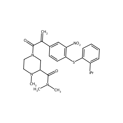 C=C(C(=O)N1CCN(C)C(C(=O)N(C)C)C1)c1ccc(Sc2ccccc2C(C)C)c([N+](=O)[O-])c1